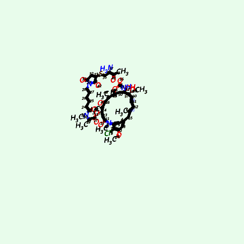 COc1cc2cc(c1Cl)N(C)C(=O)C[C@H](OC(=O)[C@H](C)N(C)C(=O)CCCCCN1C(=O)CC(SC[C@H](N)C(C)=O)C1=O)[C@]1(C)OC1[C@H](C)[C@@H]1C[C@@](O)(NC(=O)O1)[C@H](OC)/C=C/C=C(\C)C2